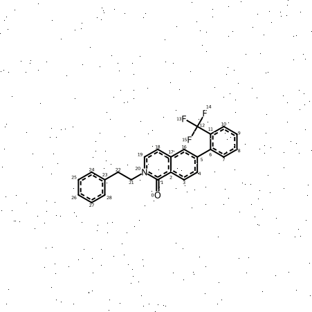 O=c1c2ccc(-c3ccccc3C(F)(F)F)cc2ccn1CCc1ccccc1